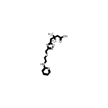 CC(C)(CC(=O)O)Cc1nc(CSCCNc2ccccn2)no1